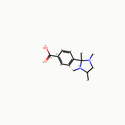 CC1CN(C)C(C)(c2ccc(C(=O)O)cc2)N1C